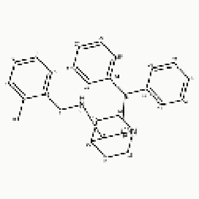 Cc1ccccc1CNC1C2CCN(CC2)C1C(c1ccccc1)c1ccccc1